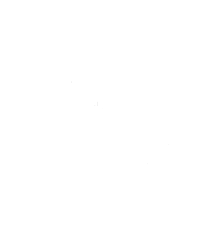 COC(OC)[SiH2]CCCC1CC2C=CC1C2